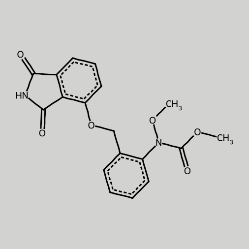 COC(=O)N(OC)c1ccccc1COc1cccc2c1C(=O)NC2=O